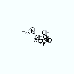 CC1CCCCN1CCCNC(=O)c1ccc2c(c1)C(=O)N(c1ccccc1F)C2=O.Cl